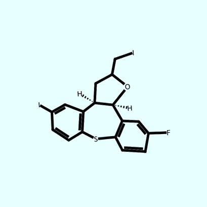 Fc1ccc2c(c1)[C@@H]1OC(CI)C[C@@H]1c1cc(I)ccc1S2